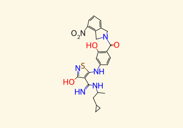 CC(CC1CC1)NC(=N)c1c(O)nsc1Nc1ccc(C(=O)N2Cc3cccc([N+](=O)[O-])c3C2)c(O)c1